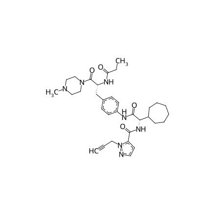 C#CCn1nccc1C(=O)N[C@H](C(=O)Nc1ccc(C[C@@H](NC(=O)CC)C(=O)N2CCN(C)CC2)cc1)C1CCCCCC1